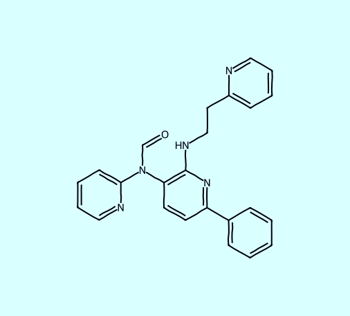 O=CN(c1ccccn1)c1ccc(-c2ccccc2)nc1NCCc1ccccn1